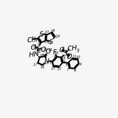 CS(=O)(=O)c1c(-c2ccccc2)ccc(N2CC[C@H](NS(=O)(=O)c3c(Cl)sc4ccsc34)C2=O)c1F